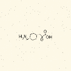 NC[C@H]1CC[C@H](CC(=O)C(=O)O)CC1